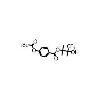 CCC(C)C(=O)Oc1ccc(C(=O)OC(C)(C)C(C)(O)C(F)(F)F)cc1